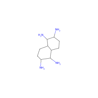 NC1CCC2C(N)C(N)CCC2C1N